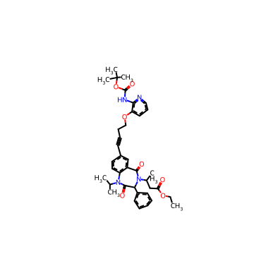 CCOC(=O)CC(C)N1C(=O)c2cc(C#CCCOc3cccnc3NC(=O)OC(C)(C)C)ccc2N(C(C)C)C(=O)C1c1ccccc1